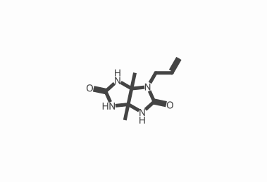 C=CCN1C(=O)NC2(C)NC(=O)NC12C